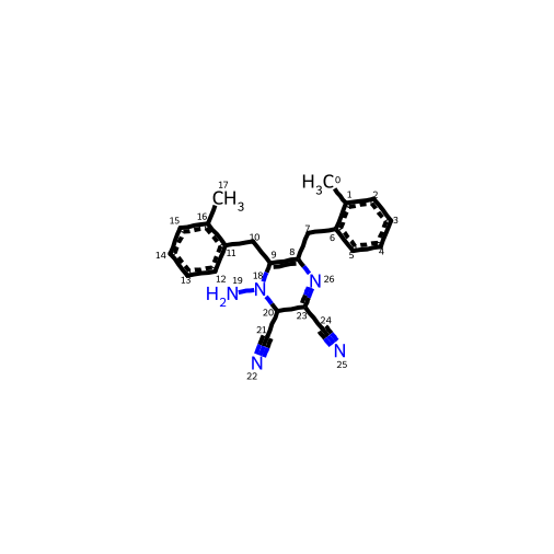 Cc1ccccc1CC1=C(Cc2ccccc2C)N(N)C(C#N)C(C#N)=N1